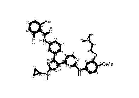 COc1ccc(Nc2nccc(-c3sc(NC4CC4)nc3-c3cccc(NC(=O)c4c(F)cccc4F)c3)n2)cc1OCCN(C)C